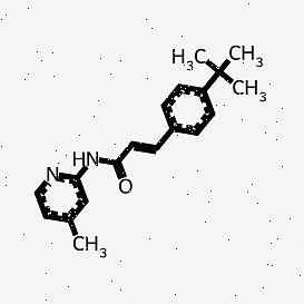 Cc1ccnc(NC(=O)/C=C/c2ccc(C(C)(C)C)cc2)c1